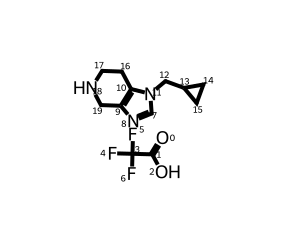 O=C(O)C(F)(F)F.c1nc2c(n1CC1CC1)CCNC2